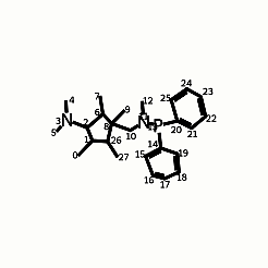 CC1C(N(C)C)C(C)C(C)(CN(C)P(c2ccccc2)c2ccccc2)C1C